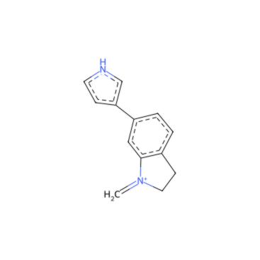 C=[N+]1CCc2ccc(-c3cc[nH]c3)cc21